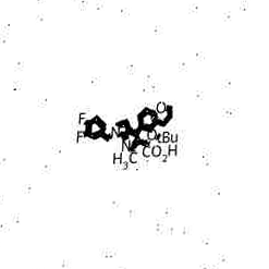 Cc1nc2c(ccn2Cc2ccc(F)c(F)c2)c(-c2ccc3c(c2)CCCO3)c1[C@@H](OC(C)(C)C)C(=O)O